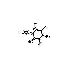 CC1C(F)C(F)C(Br)C(C(=O)O)C1F